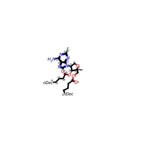 CCCCCCCCCCCCCC(=O)OC[C@@]1(C)OCC(n2cnc3c(N)nc(F)nc32)[C@@H]1OC(=O)CCCCCCCCCCCCC